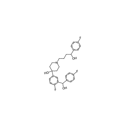 OC(CCCN1CCC(O)(c2ccc(F)c(C(O)c3ccc(F)cc3)c2)CC1)c1ccc(F)cc1